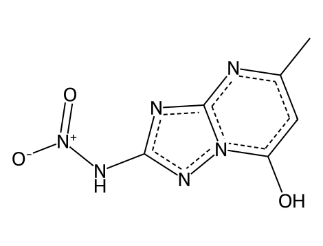 Cc1cc(O)n2nc(N[N+](=O)[O-])nc2n1